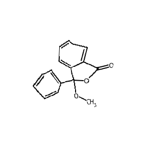 COC1(c2ccccc2)OC(=O)c2ccccc21